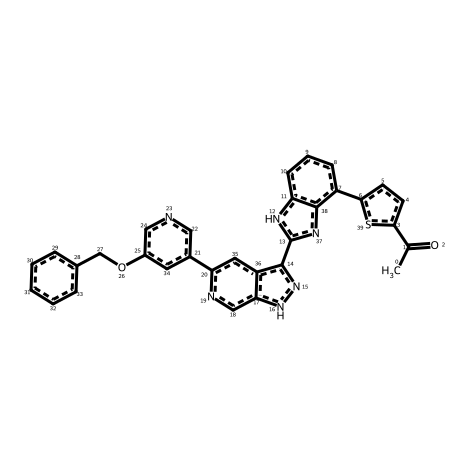 CC(=O)c1ccc(-c2cccc3[nH]c(-c4n[nH]c5cnc(-c6cncc(OCc7ccccc7)c6)cc45)nc23)s1